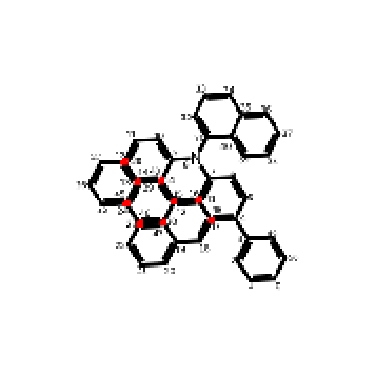 c1ccc(-c2ccc(N(c3ccccc3-c3cccc4cccc(-c5ccccc5)c34)c3cccc4ccccc34)c(-c3ccccc3)c2)cc1